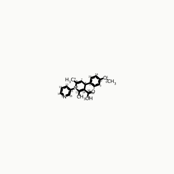 COc1ccc(C2C=C(C)N(c3cccnc3)C(C)=C2C(=O)O)cc1